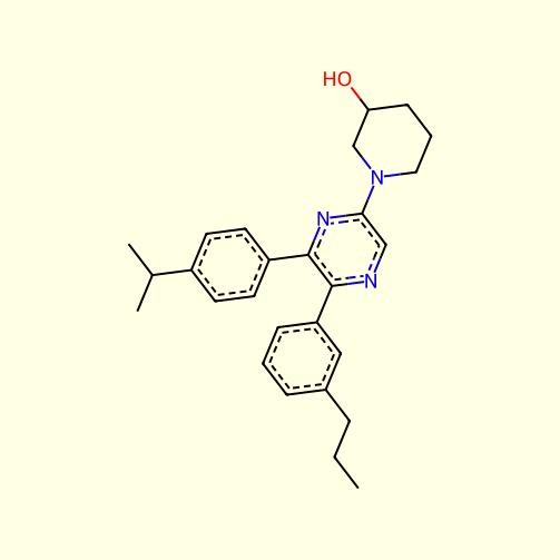 CCCc1cccc(-c2ncc(N3CCCC(O)C3)nc2-c2ccc(C(C)C)cc2)c1